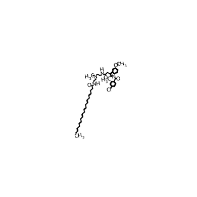 CCC=CCC=CCC=CCC=CCC=CCC=CCCC(=O)NCCN(C)CCNC(=O)Cc1c(C)n(C(=O)c2ccc(Cl)cc2)c2ccc(OC)cc12